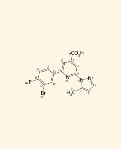 Cc1ccnn1-c1cc(C(=O)O)nc(-c2ccc(F)c(Br)c2)n1